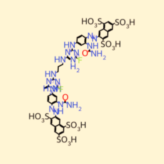 C=C(/N=C(\N=C(/N)F)Nc1ccc(/N=N/c2cc3c(S(=O)(=O)O)cc(S(=O)(=O)O)cc3cc2S(=O)(=O)O)c(NC(N)=O)c1)NCCCNC(=N/C(=C)Nc1ccc(/N=N/c2cc3c(S(=O)(=O)O)cc(S(=O)(=O)O)cc3cc2S(=O)(=O)O)c(NC(N)=O)c1)/N=C(\N)F